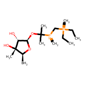 B[C@@H]1O[C@H](OC(C)(C)[PH](=C)CP(=C)(CC)CC)[C@@H](O)[C@@]1(C)O